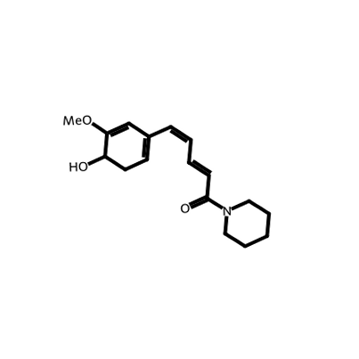 COC1=CC(/C=C\C=C\C(=O)N2CCCCC2)=CCC1O